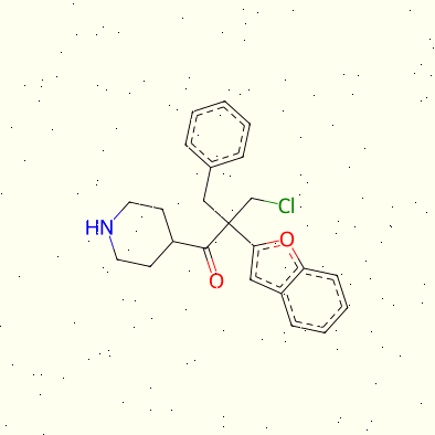 O=C(C1CCNCC1)C(CCl)(Cc1ccccc1)c1cc2ccccc2o1